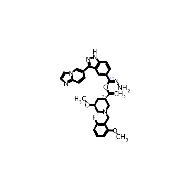 C=C(O/C(=N\N)c1ccc2[nH]nc(-c3ccc4nccn4c3)c2c1)[C@@H]1CC(OC)CN(Cc2c(F)cccc2OC)C1